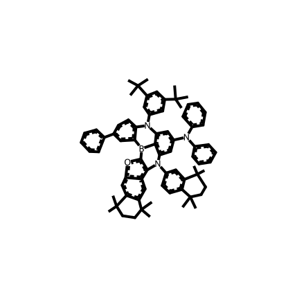 CC(C)(C)c1cc(N2c3ccc(-c4ccccc4)cc3B3c4oc5cc6c(cc5c4N(c4ccc5c(c4)C(C)(C)CCC5(C)C)c4cc(N(c5ccccc5)c5ccccc5)cc2c43)C(C)(C)CCC6(C)C)cc(C(C)(C)C)c1